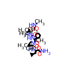 CCNC(=O)OC[C@@H](NC(=O)N[C@H](C(=O)N1CC2C([C@H]1C(=O)NC(CC1CC1)C(=O)C(N)=O)C2(C)C)C1(C)CCCCC1)C(C)(C)C